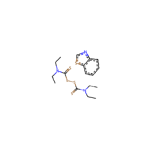 CCN(CC)C(=S)SSC(=S)N(CC)CC.c1ccc2scnc2c1